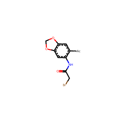 CC(=O)c1cc2c(cc1NC(=O)CBr)OCO2